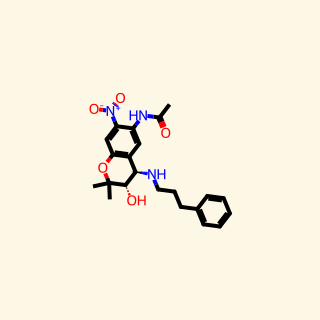 CC(=O)Nc1cc2c(cc1[N+](=O)[O-])OC(C)(C)[C@@H](O)[C@@H]2NCCCc1ccccc1